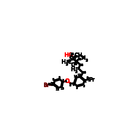 CC(C)c1ccc(COc2ccc(Br)cc2)cc1CCCC(C)(C)[Si](C)(C)O